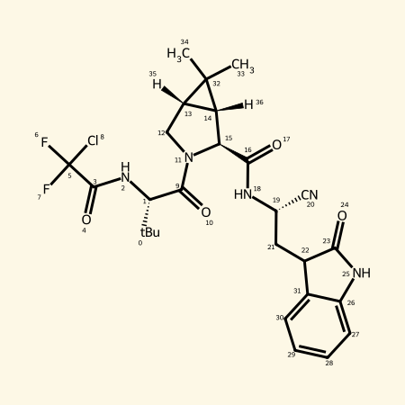 CC(C)(C)[C@H](NC(=O)C(F)(F)Cl)C(=O)N1C[C@H]2[C@@H]([C@H]1C(=O)N[C@H](C#N)CC1C(=O)Nc3ccccc31)C2(C)C